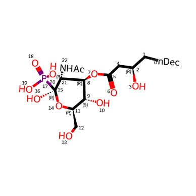 CCCCCCCCCCC[C@@H](O)CC(=O)O[C@H]1[C@H](O)[C@@H](CO)O[C@@](O)(P(=O)(O)O)[C@@H]1NC(C)=O